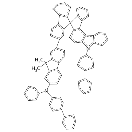 CC1(C)c2cc(-c3ccc4c(c3)C3(c5ccccc5-4)c4ccccc4-c4c3ccc3c4c4ccccc4n3-c3ccc(-c4ccccc4)cc3)ccc2-c2ccc(N(c3ccccc3)c3ccc(-c4ccccc4)cc3)cc21